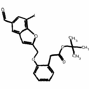 CC(C)(C)OC(=O)Cc1ccccc1OCc1cc2cc(C=O)cc(I)c2o1